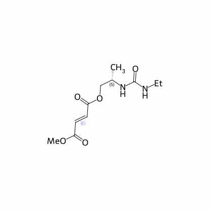 CCNC(=O)N[C@@H](C)COC(=O)/C=C/C(=O)OC